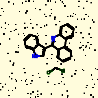 ClCCl.c1ccc2c(c1)nc(-c1c[nH]c3ccccc13)c1ccccc12